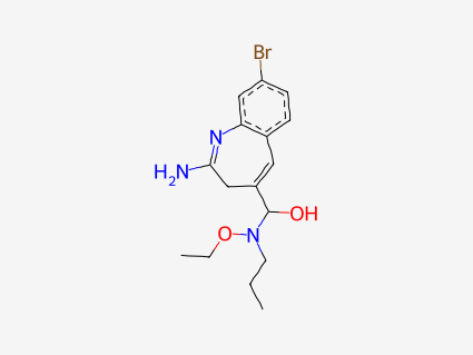 CCCN(OCC)C(O)C1=Cc2ccc(Br)cc2N=C(N)C1